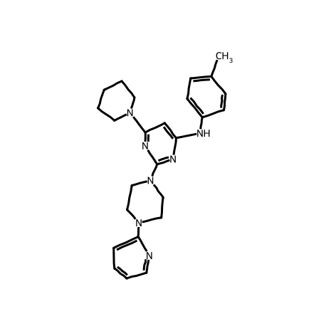 Cc1ccc(Nc2cc(N3CCCCC3)nc(N3CCN(c4ccccn4)CC3)n2)cc1